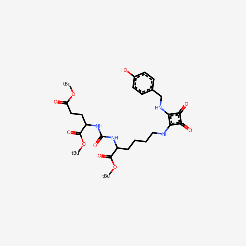 CC(C)(C)OC(=O)CCC(NC(=O)NC(CCCCNc1c(NCc2ccc(O)cc2)c(=O)c1=O)C(=O)OC(C)(C)C)C(=O)OC(C)(C)C